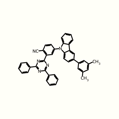 Cc1cc(C)cc(-c2ccc3c(c2)c2ccccc2n3-c2ccc(C#N)c(-c3nc(-c4ccccc4)nc(-c4ccccc4)n3)c2)c1